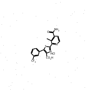 Cc1c(C(N)=O)ccnc1-c1nc(C(=O)O)c(-c2cccc(C(F)(F)F)c2)s1.Cl